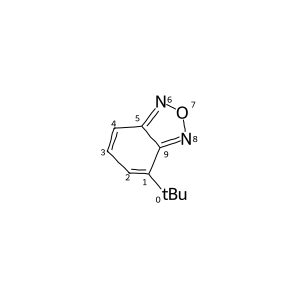 [CH2]C(C)(C)c1cccc2nonc12